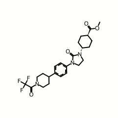 COC(=O)[C@H]1CC[C@H](N2CCN(c3ccc(C4CCN(C(=O)C(F)(F)F)CC4)cc3)C2=O)CC1